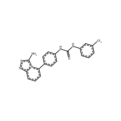 Nc1nnc2cccc(-c3ccc(NC(=O)Nc4cccc(C(F)(F)F)c4)cc3)n12